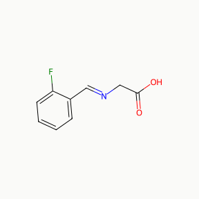 O=C(O)C/N=C/c1ccccc1F